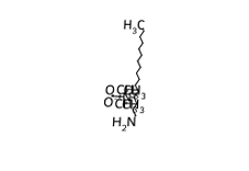 CCCCCCCCCCCCC(CCCN)[N+](C)(C)C(C)(C)C(=O)[O-]